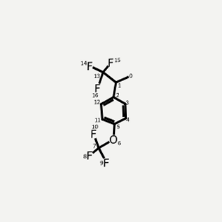 CC(c1ccc(OC(F)(F)F)cc1)C(F)(F)F